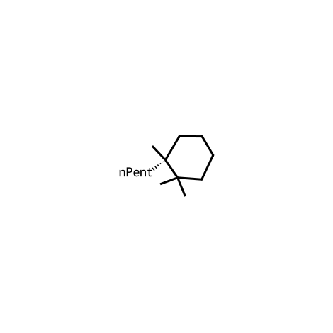 CCCCC[C@]1(C)CCCCC1(C)C